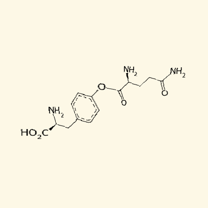 NC(=O)CC[C@H](N)C(=O)Oc1ccc(C[C@H](N)C(=O)O)cc1